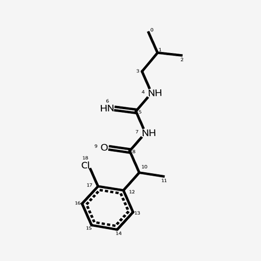 CC(C)CNC(=N)NC(=O)C(C)c1ccccc1Cl